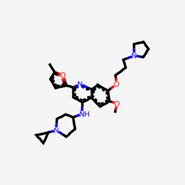 COc1cc2c(NC3CCN(C4CC4)CC3)cc(-c3ccc(C)o3)nc2cc1OCCCN1CCCC1